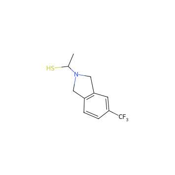 CC(S)N1Cc2ccc(C(F)(F)F)cc2C1